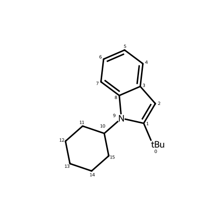 CC(C)(C)c1cc2ccccc2n1C1CCCCC1